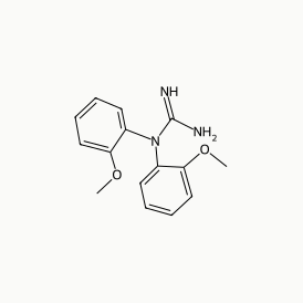 COc1ccccc1N(C(=N)N)c1ccccc1OC